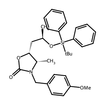 COc1ccc(CN2C(=O)O[C@H](C[C@@H](C)O[Si](c3ccccc3)(c3ccccc3)C(C)(C)C)[C@@H]2C)cc1